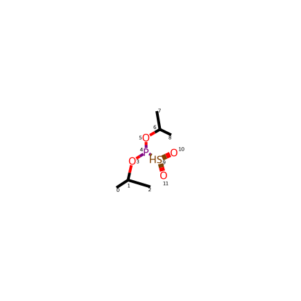 CC(C)OP(OC(C)C)[SH](=O)=O